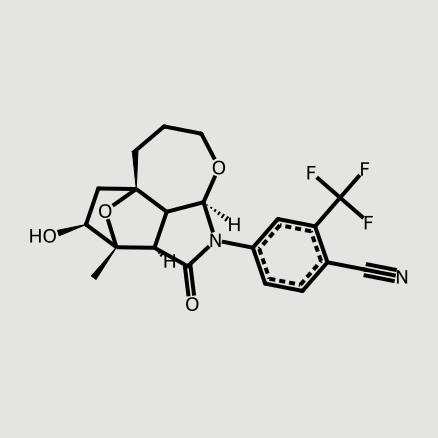 C[C@@]12O[C@]3(CCCO[C@@H]4C3[C@H]1C(=O)N4c1ccc(C#N)c(C(F)(F)F)c1)C[C@@H]2O